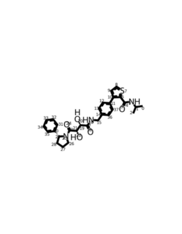 CC(C)NC(=O)c1sccc1-c1ccc(CNC(=O)[C@H](O)[C@@H](O)C(=O)N2CCC[C@@H]2c2ccccc2)cc1